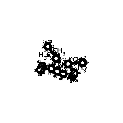 CC(C)(c1ccccc1)c1ccc(N(c2ccc(C(C)(C)c3ccccc3)cc2)c2c3ccc(C45CC6CC(CC(C6)C4)C5)cc3cc3ccc(C45CC6CC(CC(C6)C4)C5)cc23)cc1